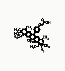 CCN1c2cc3c(cc2C(C)CC1(C)C)C(c1ccc(OCC(=O)O)cc1)=c1cc2c(cc1P3(=O)O)=[N+](CC)C(C)(C)C=C2C